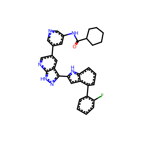 O=C(Nc1cncc(-c2cnc3[nH]nc(-c4cc5c(-c6ccccc6F)cccc5[nH]4)c3c2)c1)C1CCCCC1